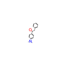 CN(C)c1ccc(C(=O)Cc2ccccc2)cc1